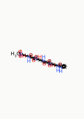 CC(=O)N(O)CCCCCNC(=O)CCC(=O)N(O)CCCCCNC(=O)CCC(=O)N(O)CCCCCNC(=O)Nc1ccccc1